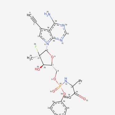 C#Cc1cn([C@@H]2O[C@H](COP(=O)(NC(C(=O)OC)C(C)C)Oc3ccccc3)[C@@H](O)[C@@]2(C)F)c2ncnc(N)c12